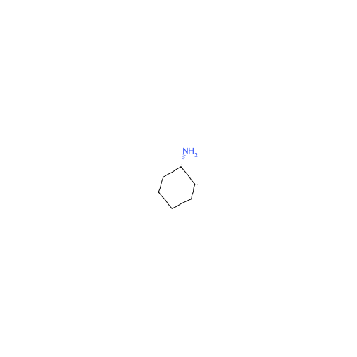 N[C@@H]1[CH]CCCC1